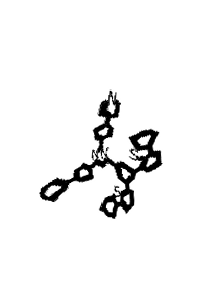 c1ccc(-c2ccc(-c3cc(-c4cc(-c5cccc6c5sc5ccccc56)cc(-c5cccc6c5sc5ccccc56)c4)nc(-c4ccc(-c5ccncc5)cc4)n3)cc2)cc1